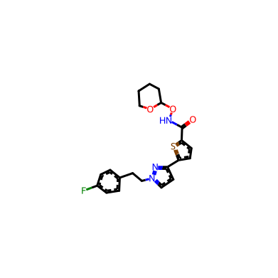 O=C(NOC1CCCCO1)c1ccc(-c2ccn(CCc3ccc(F)cc3)n2)s1